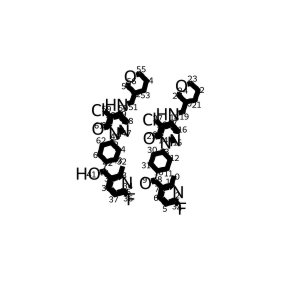 Cc1nc(F)ccc1C(=O)[C@H]1CC[C@H](n2ncc(NCC3CCCOC3)c(Cl)c2=O)CC1.Cc1nc(F)ccc1C(O)[C@H]1CC[C@H](n2ncc(NCC3CCCOC3)c(Cl)c2=O)CC1